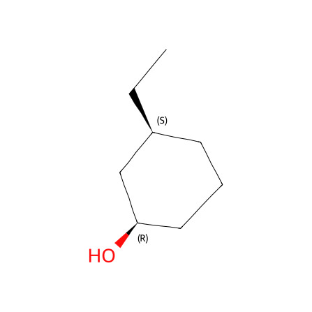 CC[C@H]1CCC[C@@H](O)C1